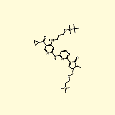 Cn1c(=O)c(-c2nccc(Nc3cc(NCCCO[Si](C)(C)C(C)(C)C)c(C(=O)C4CC4)cn3)n2)cn1COCC[Si](C)(C)C